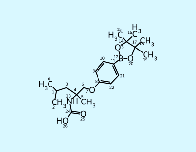 CC(C)CC(C)(COc1ccc(B2OC(C)(C)C(C)(C)O2)cc1)NC(=O)O